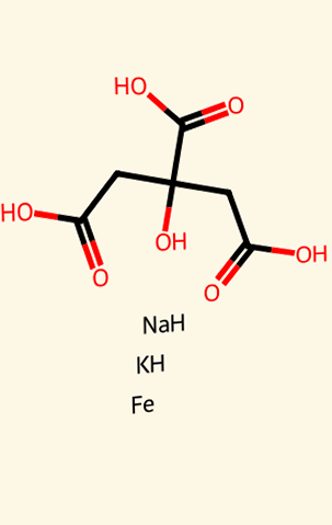 O=C(O)CC(O)(CC(=O)O)C(=O)O.[Fe].[KH].[NaH]